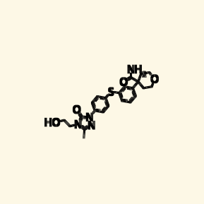 Cc1nn(-c2ccc(Sc3cccc(C4(C(N)=O)CCOCC4)c3)cc2)c(=O)n1CCO